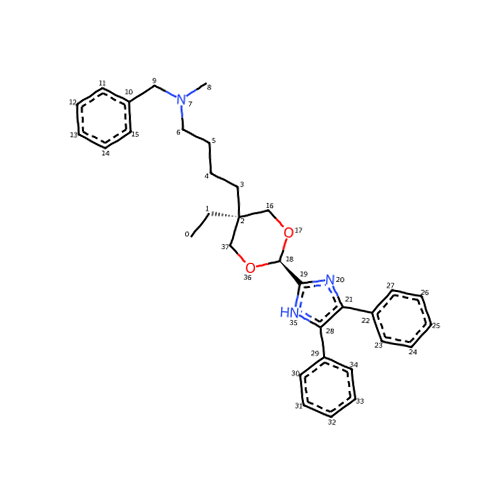 CC[C@]1(CCCCN(C)Cc2ccccc2)CO[C@@H](c2nc(-c3ccccc3)c(-c3ccccc3)[nH]2)OC1